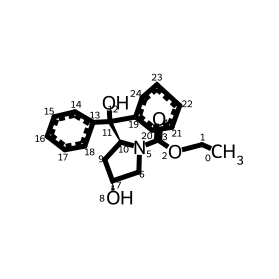 CCOC(=O)N1C[C@H](O)C[C@H]1C(O)(c1ccccc1)c1ccccc1